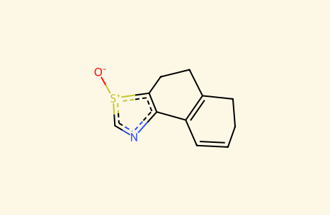 [O-][s+]1cnc2c1CCC1=C2C=CCC1